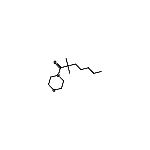 CCCCCC(C)(C)C(=O)N1CCOCC1